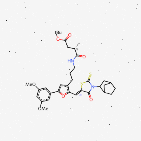 COc1cc(OC)cc(-c2cc(CCCNC(=O)[C@@H](C)CC(=O)OC(C)(C)C)c(/C=C3\SC(=S)N(C4CC5CCC4C5)C3=O)o2)c1